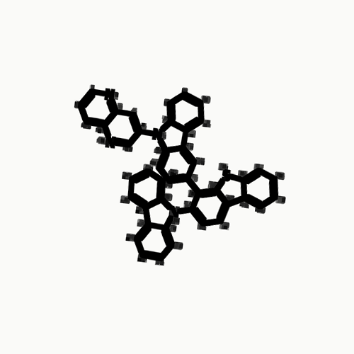 c1cnc2cc(-n3c4ccccc4c4cc(-c5c(-n6c7ccccc7c7ccccc76)ccc6c5sc5ccccc56)ccc43)cnc2c1